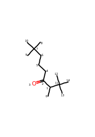 CC(C(=O)CCCC(C)(C)C)C(C)(C)C